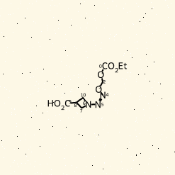 CCOC(=O)OCO/N=N\N1CC(C(=O)O)C1